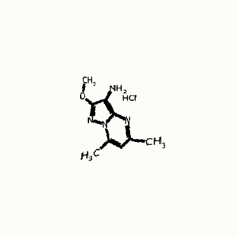 COc1nn2c(C)cc(C)nc2c1N.Cl